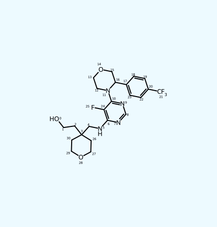 OCCC1(CNc2ncnc(N3CCOCC3c3ccc(C(F)(F)F)cc3)c2F)CCOCC1